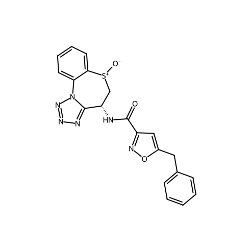 O=C(N[C@H]1C[S+]([O-])c2ccccc2-n2nnnc21)c1cc(Cc2ccccc2)on1